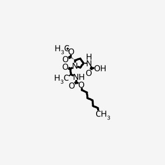 CCCCCCCOC(=O)N[C@@H](C)C(=O)N1C[C@H](NC(=O)O)C[C@H]1C(=O)OC